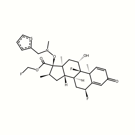 C[C@@H]1C[C@H]2[C@@H]3C[C@H](F)C4=CC(=O)C=C[C@]4(C)[C@@]3(F)[C@@H](O)C[C@]2(C)[C@@]1(ON(C)Cc1cccs1)C(=O)OCF